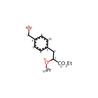 CCOC(=O)C(Cc1ccc(CBr)cc1)OC(C)C